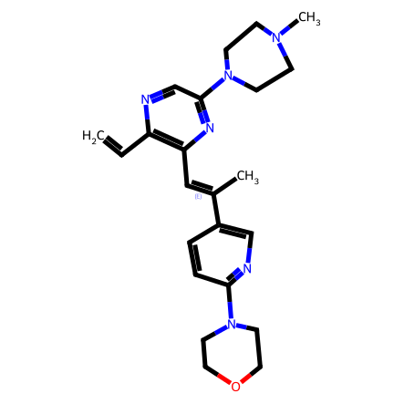 C=Cc1ncc(N2CCN(C)CC2)nc1/C=C(\C)c1ccc(N2CCOCC2)nc1